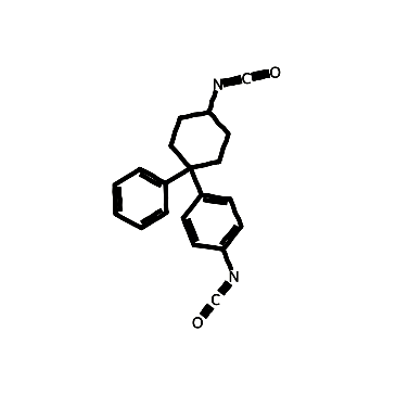 O=C=Nc1ccc(C2(c3ccccc3)CCC(N=C=O)CC2)cc1